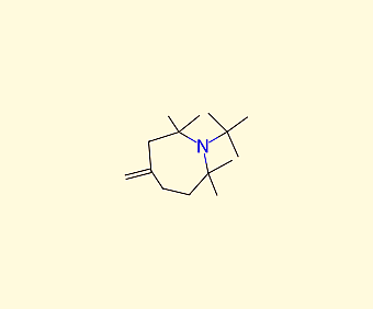 C=C1CCC(C)(C)N(C(C)(C)C)C(C)(C)C1